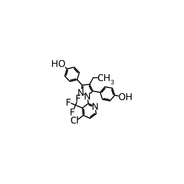 CCc1c(-c2ccc(O)cc2)nn(-c2nccc(Cl)c2C(F)(F)F)c1-c1ccc(O)cc1